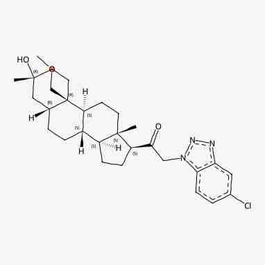 COC[C@]12CC[C@@](C)(O)C[C@H]1CC[C@H]1[C@@H]3CC[C@H](C(=O)Cn4nnc5cc(Cl)ccc54)[C@@]3(C)CC[C@@H]12